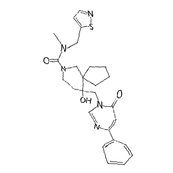 CN(Cc1ccns1)C(=O)N1CCC(O)(Cn2cnc(-c3ccccc3)cc2=O)C2(CCCC2)C1